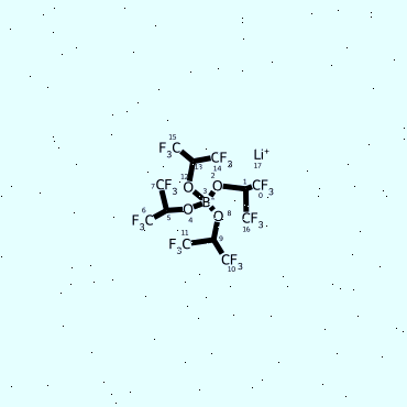 FC(F)(F)C(O[B-](OC(C(F)(F)F)C(F)(F)F)(OC(C(F)(F)F)C(F)(F)F)OC(C(F)(F)F)C(F)(F)F)C(F)(F)F.[Li+]